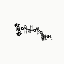 CCN1c2cc3c(cc2C(C)=CC1(C)C)C(c1ccc(C(=O)NCCCC(=O)NCc2ccc(C(=O)NCc4ccc(COc5nc(N)nc6[nH]cnc56)cc4)cc2)cc1)=c1cc2c(cc1O3)=[N+](CC)C(C)(C)C=C2C